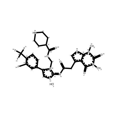 Cl.Cn1c(=O)c2c(CC(=O)N=c3scc(-c4ccc(C(F)(F)F)c(F)c4)n3COC(=O)C3CCNCC3)csc2n(C)c1=O